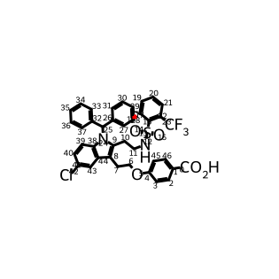 O=C(O)c1ccc(OCCc2c(CCNS(=O)(=O)c3c(F)cccc3C(F)(F)F)n(C(c3ccccc3)c3ccccc3)c3ccc(Cl)cc23)cc1